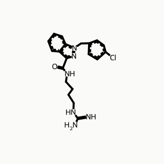 N=C(N)NCCCCNC(=O)c1nn(Cc2ccc(Cl)cc2)c2ccccc12